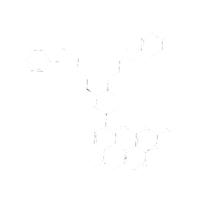 Cc1ccc(S(=O)(=O)CCOC(=O)[C@H](CCCCP(=O)(O)Oc2ccccc2)NC(=O)c2ccc(N(C)Cc3cnc4nc(N)nc(N)c4n3)cc2)cc1